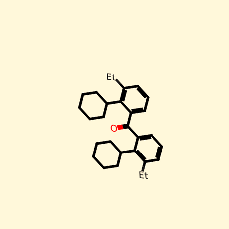 CCc1cccc(C(=O)c2cccc(CC)c2C2CCCCC2)c1C1CCCCC1